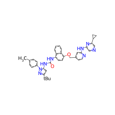 Cc1ccc(-n2nc(C(C)(C)C)cc2NC(=O)Nc2ccc(OCc3ccnc(Nc4cncc(C5CC5)n4)c3)c3ccccc23)cc1